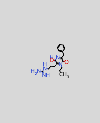 CCCN(C(=O)[C@H](N)Cc1ccccc1)[C@H](C=O)CCCNC(=N)N